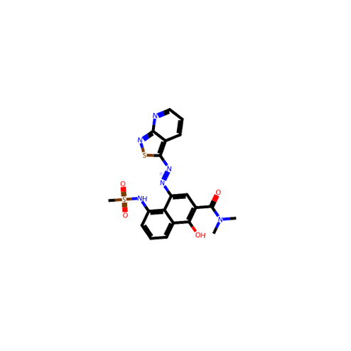 CN(C)C(=O)c1cc(/N=N/c2snc3ncccc23)c2c(NS(C)(=O)=O)cccc2c1O